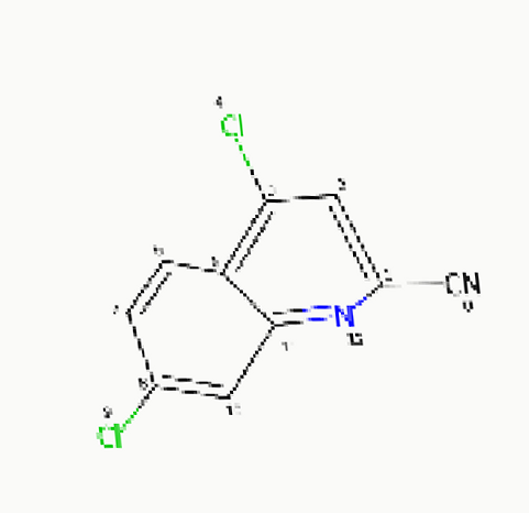 N#Cc1cc(Cl)c2ccc(Cl)cc2n1